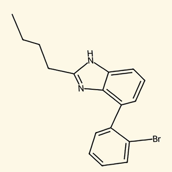 CCCCc1nc2c(-c3ccccc3Br)cccc2[nH]1